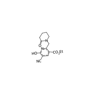 CCOC(=O)c1cc(C#N)c(O)nc1CN1CCCCC1=O